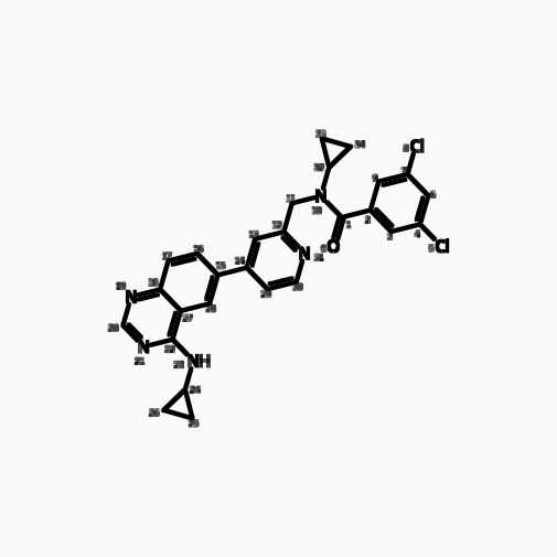 O=C(c1cc(Cl)cc(Cl)c1)N(Cc1cc(-c2ccc3ncnc(NC4CC4)c3c2)ccn1)C1CC1